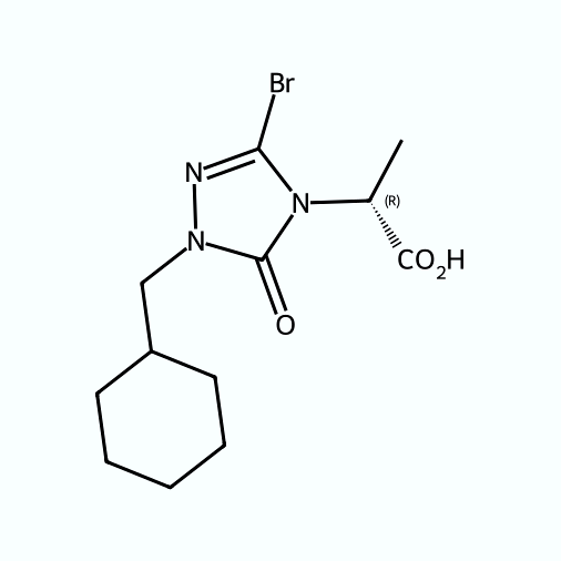 C[C@H](C(=O)O)n1c(Br)nn(CC2CCCCC2)c1=O